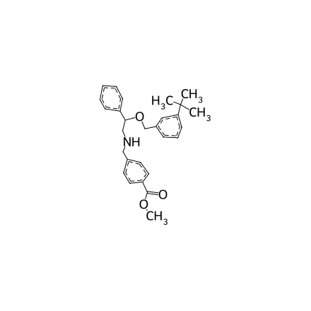 COC(=O)c1ccc(CNCC(OCc2cccc(C(C)(C)C)c2)c2ccccc2)cc1